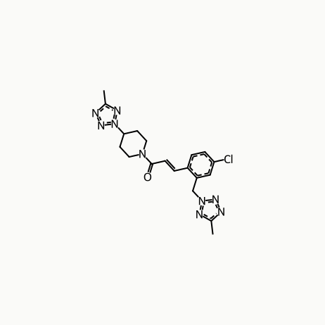 Cc1nnn(Cc2cc(Cl)ccc2C=CC(=O)N2CCC(n3nnc(C)n3)CC2)n1